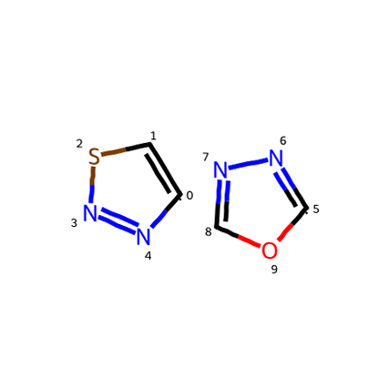 [c]1csnn1.[c]1nnco1